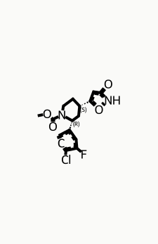 COC(=O)N1CC[C@H](c2cc(=O)[nH]o2)C[C@@H]1c1ccc(Cl)c(F)c1